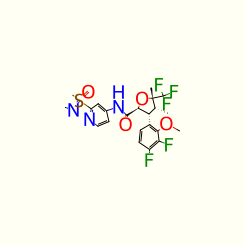 CN=S(C)(=O)c1cc(NC(=O)[C@H]2O[C@](C)(C(F)(F)F)[C@H](C)[C@@H]2c2ccc(F)c(F)c2OC)ccn1